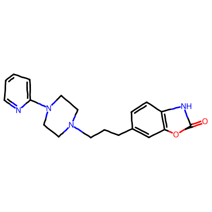 O=c1[nH]c2ccc(CCCN3CCN(c4ccccn4)CC3)cc2o1